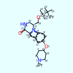 CC(C)N1CCC(Oc2ccc3c(c2)cc2n3[C@H](CO[Si](C)(C)C(C)(C)C(C)C)CNC2=O)CC1